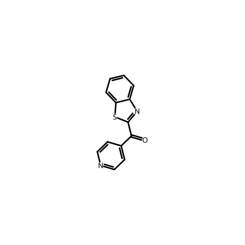 O=C(c1ccncc1)c1nc2ccccc2s1